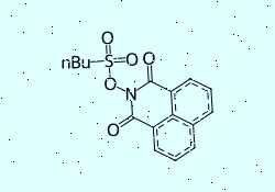 CCCCS(=O)(=O)ON1C(=O)c2cccc3cccc(c23)C1=O